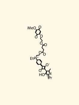 CC[N+](CCOC(=O)CCC(=O)OCCOC1=CC(=O)C(OC)=CC1=O)=C1C=CC(=C2C(=O)C(c3c(C)nn(C(C)C)c3O)=C2[O-])C=C1